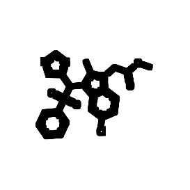 COC(=O)Cn1c(C)c(C(c2cncs2)S(=O)(=O)c2ccccc2)c2cc(Cl)ccc21